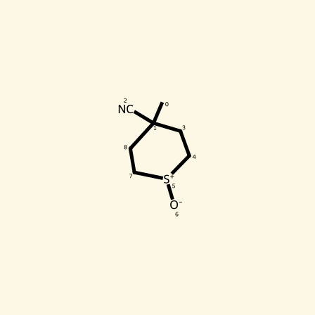 CC1(C#N)CC[S+]([O-])CC1